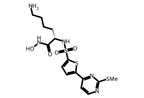 CSc1nccc(-c2ccc(S(=O)(=O)N[C@@H](CCCCN)C(=O)NO)s2)n1